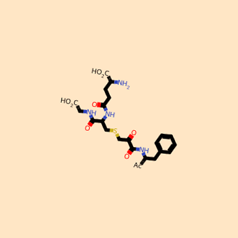 CC(=O)C(Cc1ccccc1)NC(=O)C(=O)CSCC(NC(=O)CCC(N)C(=O)O)C(=O)NCC(=O)O